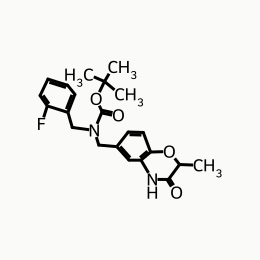 CC1Oc2ccc(CN(Cc3ccccc3F)C(=O)OC(C)(C)C)cc2NC1=O